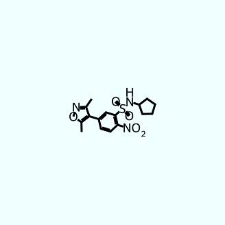 Cc1noc(C)c1-c1ccc([N+](=O)[O-])c(S(=O)(=O)NC2CCCC2)c1